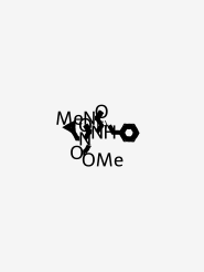 CNC(=O)[C@H](CCc1ccccc1)NC(=O)N(CC(=O)OC)CC1CC1